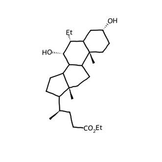 CCOC(=O)CC[C@@H](C)C1CCC2C3C(CC[C@@]21C)[C@@]1(C)CC[C@@H](O)CC1[C@@H](CC)[C@H]3O